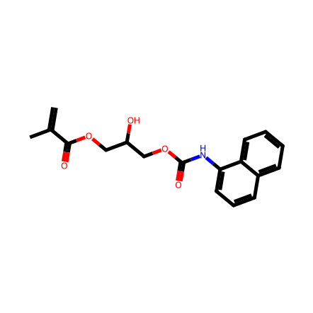 C=C(C)C(=O)OCC(O)COC(=O)Nc1cccc2ccccc12